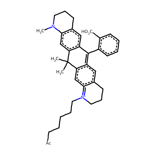 CC(=O)CCCCC[N+]1=c2cc3c(cc2CCC1)=C(c1ccccc1C(=O)O)c1cc2c(cc1C3(C)C)N(C)CCC2